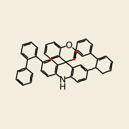 C1=CCC(c2ccc3c(c2)C2(c4cc(-c5ccccc5-c5ccccc5)ccc4N3)c3ccccc3Oc3ccccc32)C(c2ccccc2)=C1